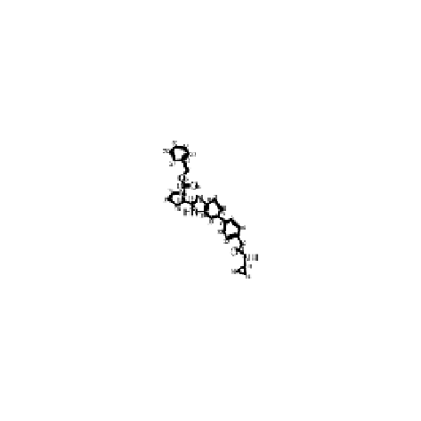 O=C(Cc1ccc(-c2ccc3nc(C4CCCN4C(=O)OCc4ccccc4)[nH]c3c2)cc1)NC1CC1